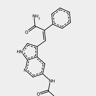 NC(=O)C(=Cc1c[nH]c2ncc(NC(=O)O)cc12)c1ccccc1